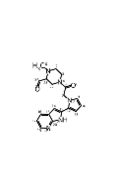 CN1CCN(C(=O)Cn2cccc2-c2cc3cccnc3[nH]2)CC1C=O